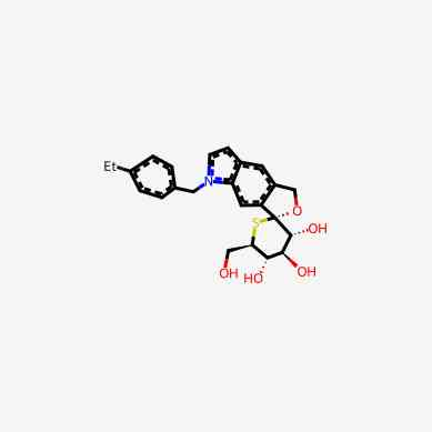 CCc1ccc(Cn2ccc3cc4c(cc32)[C@]2(OC4)S[C@H](CO)[C@@H](O)[C@H](O)[C@H]2O)cc1